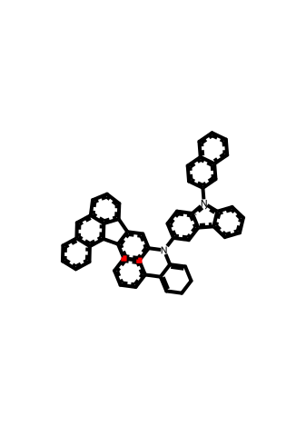 C1=C(c2ccccc2)C(N(c2ccc3c(c2)-c2cccc4cc5ccccc5c-3c24)c2ccc3c(c2)c2ccccc2n3-c2ccc3ccccc3c2)=CCC1